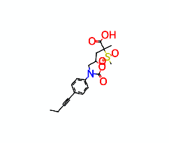 CCC#Cc1ccc(N2CC(CC(C)(C(=O)O)S(C)(=O)=O)OC2=O)cc1